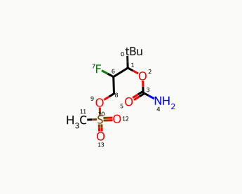 CC(C)(C)C(OC(N)=O)C(F)COS(C)(=O)=O